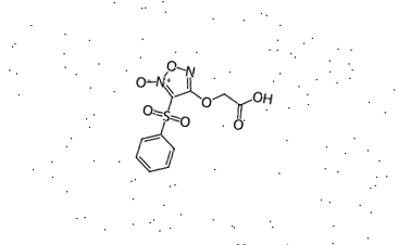 O=C(O)COc1no[n+]([O-])c1S(=O)(=O)c1ccccc1